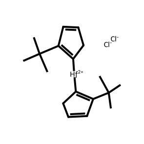 CC(C)(C)C1=[C]([Hf+2][C]2=C(C(C)(C)C)C=CC2)CC=C1.[Cl-].[Cl-]